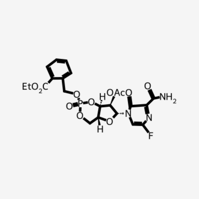 CCOC(=O)c1ccccc1COP1(=O)OC[C@H]2O[C@@H](n3cc(F)nc(C(N)=O)c3=O)[C@H](OC(C)=O)[C@@H]2O1